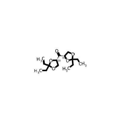 CCC1(CC)OC[C@@H](C(=O)[C@@H]2COC(CC)(CC)O2)O1